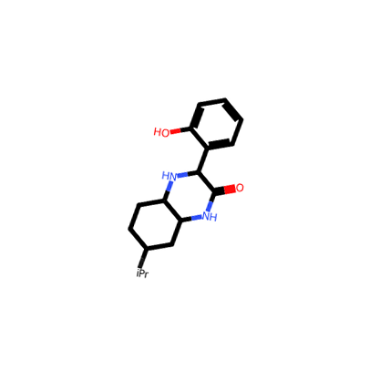 CC(C)C1CCC2NC(c3ccccc3O)C(=O)NC2C1